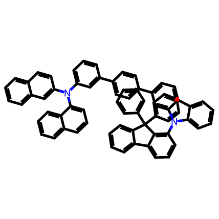 c1ccc(C2(c3ccccc3)c3ccccc3-c3cccc(-n4c5ccccc5c5ccc(-c6ccc(-c7cccc(N(c8ccc9ccccc9c8)c8cccc9ccccc89)c7)cc6)cc54)c32)cc1